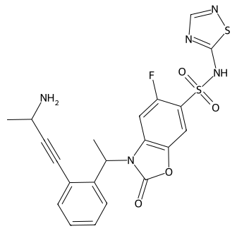 CC(N)C#Cc1ccccc1C(C)n1c(=O)oc2cc(S(=O)(=O)Nc3ncns3)c(F)cc21